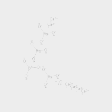 O.[Ca+2].[Ca+2].[Ca+2].[Ca+2].[Ca+2].[Ca+2].[O-]B([O-])[O-].[O-]B([O-])[O-].[O-]B([O-])[O-].[O-]B([O-])[O-]